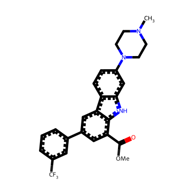 COC(=O)c1cc(-c2cccc(C(F)(F)F)c2)cc2c1[nH]c1cc(N3CCN(C)CC3)ccc12